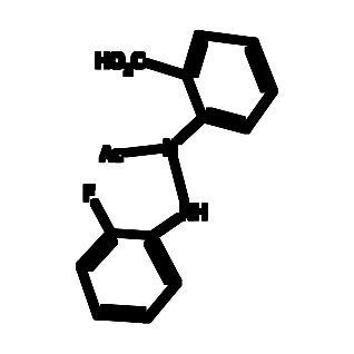 CC(=O)N(Nc1ccccc1F)c1ccccc1C(=O)O